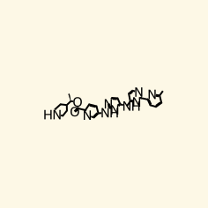 Cc1cccc(-c2nccc(Nc3ccnc(Nc4ccc(C(=O)O[C@H](C)C5CCNCC5)nc4)n3)n2)n1